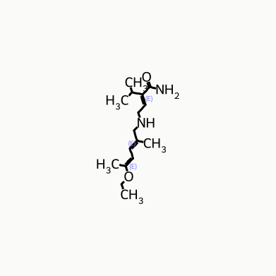 CCO/C(C)=C/C=C(\C)CNC/C=C(/C(N)=O)C(C)C